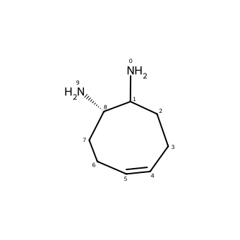 NC1CC/C=C\CC[C@@H]1N